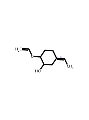 C=COC1CC/C(=C/C)CC1O